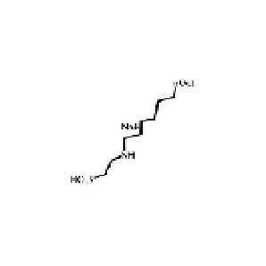 CCCCCCCCCCCCCCNCCS(=O)(=O)O.[NaH]